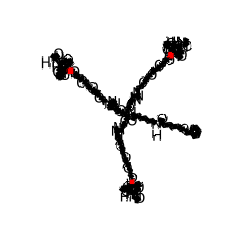 CC(=O)N[C@H]1[C@H]2OC[C@](COCCOCCOCCOCCn3cc(COCC(COCc4cn(CCOCCOCCOCCOC[C@@]56CO[C@@H](O5)[C@H](NC(C)=O)[C@H]5OC(C)(C)O[C@H]56)nn4)(COCc4cn(CCOCCOCCOCCOC[C@@]56CO[C@@H](O5)[C@H](NC(C)=O)[C@H]5OC(C)(C)O[C@H]56)nn4)NC(=O)CCCCCNC(=O)CCCCCOCc4ccccc4)nn3)(O2)[C@@H]2OC(C)(C)O[C@H]12